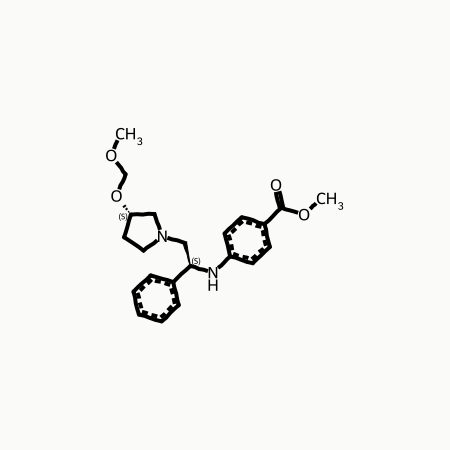 COCO[C@H]1CCN(C[C@@H](Nc2ccc(C(=O)OC)cc2)c2ccccc2)C1